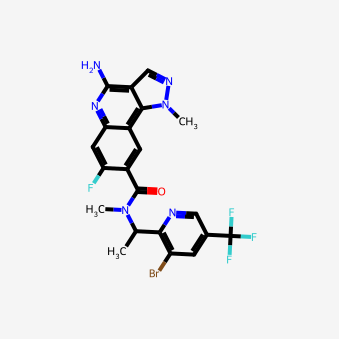 CC(c1ncc(C(F)(F)F)cc1Br)N(C)C(=O)c1cc2c(cc1F)nc(N)c1cnn(C)c12